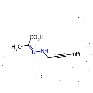 CCCC#CCN/N=C(/C)C(=O)O